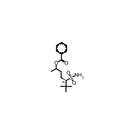 CC(CC[C@H](C(C)(C)C)S(N)(=O)=O)OC(=O)c1ccccc1